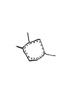 [CH2]c1cc(O)ccc1[N+](=O)[O-]